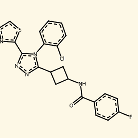 O=C(NC1CC(c2nnc(-c3nccs3)n2-c2ccccc2Cl)C1)c1ccc(F)cc1